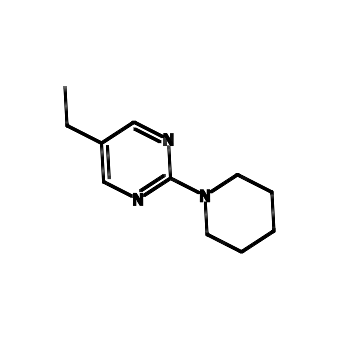 CCc1cnc(N2CCCCC2)nc1